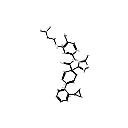 Cc1nc(C2(C(=O)Nc3ncc(Br)c(OCCN(C)C)n3)C=CC(c3ccccc3C3CC3)=CC2)no1